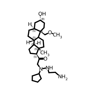 COC[C@]12CC[C@@H](O)C[C@@H]1CC[C@@H]1C2CC[C@]2(C)[C@@H](C(=O)CN(NCCN)C3CCCC3)CC[C@@H]12